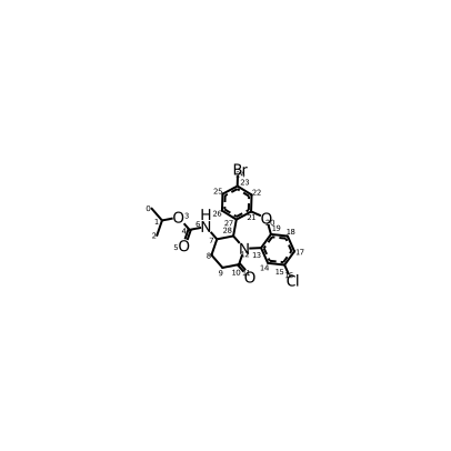 CC(C)OC(=O)NC1CCC(=O)N2c3cc(Cl)ccc3Oc3cc(Br)ccc3C12